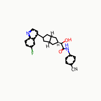 N#Cc1ccc(NC(=O)C(O)[C@H]2C[C@H]3CC(c4ccnc5ccc(F)cc45)C[C@H]3C2)cc1